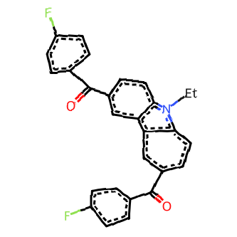 CCn1c2ccc(C(=O)c3ccc(F)cc3)cc2c2cc(C(=O)c3ccc(F)cc3)ccc21